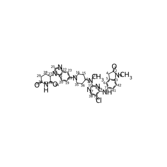 CN1C(=O)Cc2cc(Nc3nc(N(C)C4CCN(c5ccc6c(c5)ncn6C5CCC(=O)NC5=O)CC4)ncc3Cl)ccc21